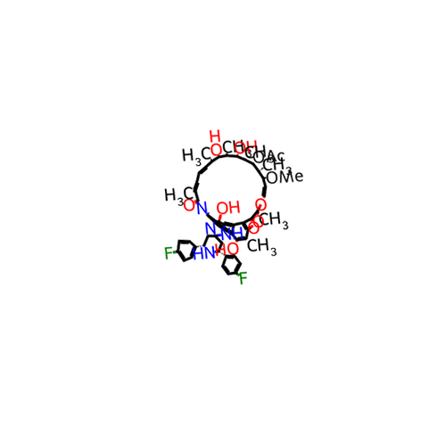 CO[C@H]1/C=C/O[C@@]2(C)Oc3c(C)c(O)c4c(O)c(c5c(c4c3C2=O)NC2(C[C@@H](c3ccc(F)cc3)N[C@@H](c3ccc(F)cc3)C2)N=5)=NC(=O)/C(C)=C\C=C\[C@H](C)[C@H](O)[C@@H](C)[C@H](O)[C@H](C)[C@H](OC(C)=O)[C@@H]1C